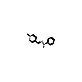 C/C=C(\C=C/NC)/C=N/Nc1ccccc1